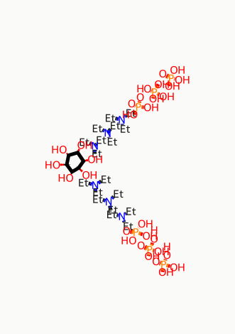 CCN(CC)CC.CCN(CC)CC.CCN(CC)CC.CCN(CC)CC.CCN(CC)CC.CCN(CC)CC.O=P(O)(O)O.O=P(O)(O)O.O=P(O)(O)O.O=P(O)(O)O.O=P(O)(O)O.O=P(O)(O)O.O[C@H]1[C@H](O)[C@@H](O)[C@H](O)[C@@H](O)[C@H]1O